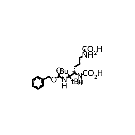 CC(C)(C)C(NC(=O)OCc1ccccc1)([C@H](CCCNC(=O)O)NC(=O)O)C(C)(C)C